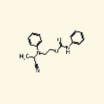 CC(C#N)N(CCOC(=O)Nc1ccccc1)c1ccccc1